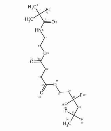 CCC(C)(C)C(=O)NCCOC(=O)CCC(=O)OCCC(F)(F)CC(C)(F)F